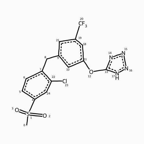 CS(=O)(=O)c1ccc(Cc2cc(Oc3nnn[nH]3)cc(C(F)(F)F)c2)c(Cl)c1